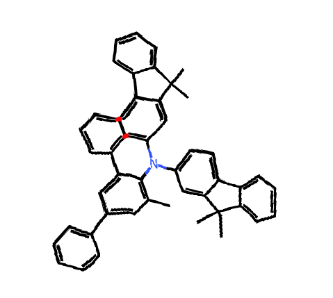 Cc1cc(-c2ccccc2)cc(-c2ccccc2)c1N(c1ccc2c(c1)C(C)(C)c1ccccc1-2)c1ccc2c(c1)C(C)(C)c1ccccc1-2